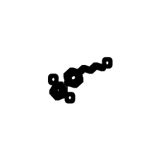 O=CCCCc1ccc(N2C(=O)C=CC2=O)cc1